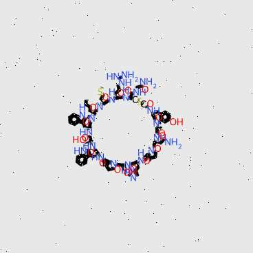 CCCC[C@H]1C(=O)N(C)[C@@H](CCSC)C(=O)N[C@@H](CCCNC(=N)N)C(=O)NC(C(=O)NCC(N)=O)CSCC(=O)N[C@@H](Cc2ccc(O)cc2)C(=O)N(C)[C@@H](C)C(=O)N[C@@H](CC(N)=O)C(=O)N2CCC[C@H]2C(=O)N[C@@H](Cc2cnc[nH]2)C(=O)N[C@@H](CO)C(=O)N2CCC[C@H]2C(=O)N[C@@H](Cc2c[nH]c3ccccc23)C(=O)N[C@@H](CO)C(=O)N[C@@H](Cc2c[nH]c3ccccc23)C(=O)N1C